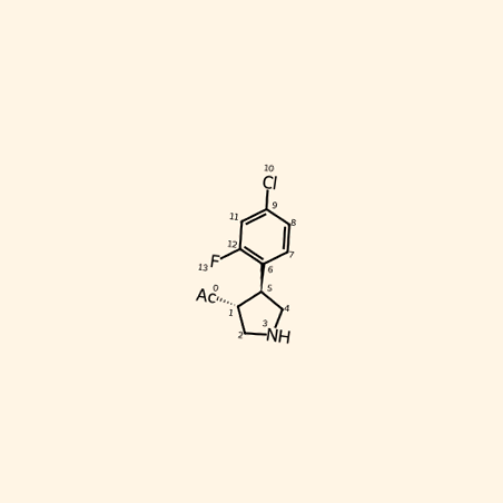 CC(=O)[C@H]1CNC[C@@H]1c1ccc(Cl)cc1F